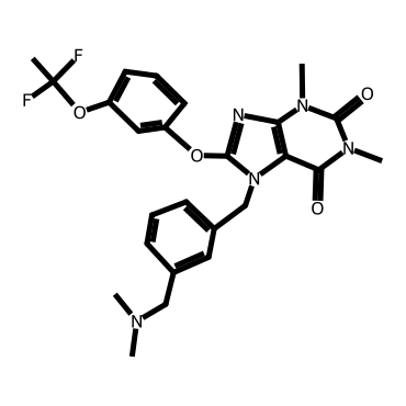 CN(C)Cc1cccc(Cn2c(Oc3cccc(OC(C)(F)F)c3)nc3c2c(=O)n(C)c(=O)n3C)c1